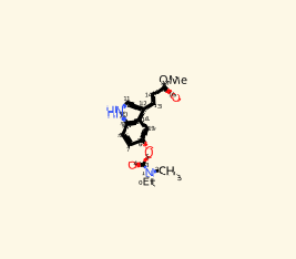 CCN(C)C(=O)Oc1ccc2[nH]cc(CCC(=O)OC)c2c1